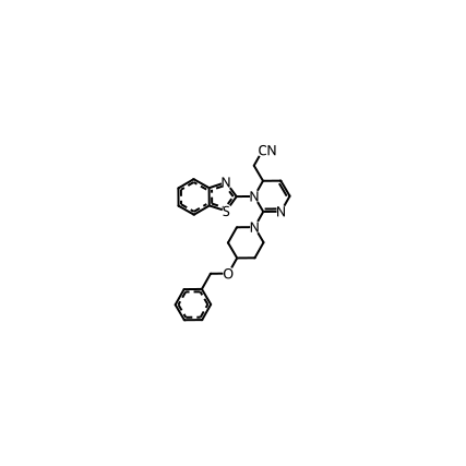 N#CCC1C=CN=C(N2CCC(OCc3ccccc3)CC2)N1c1nc2ccccc2s1